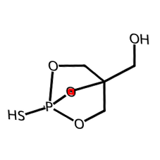 OCC12CO[P](S)(OC1)OC2